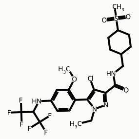 CCn1nc(C(=O)NCC2CCC(S(C)(=O)=O)CC2)c(Cl)c1-c1ccc(NC(C(F)(F)F)C(F)(F)F)cc1OC